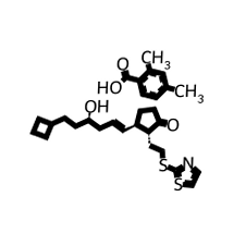 Cc1ccc(C(=O)O)c(C)c1.O=C1CC[C@H](/C=C/C[C@@H](O)CCC2CCC2)[C@H]1CCSc1nccs1